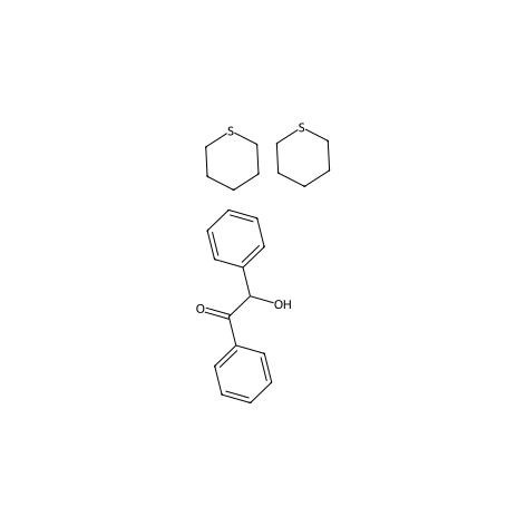 C1CCSCC1.C1CCSCC1.O=C(c1ccccc1)C(O)c1ccccc1